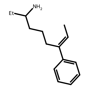 C/C=C(\CCCC(N)CC)c1ccccc1